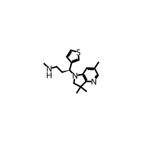 CNCC[C@@H](c1ccsc1)N1CC(C)(C)c2ncc(C)cc21